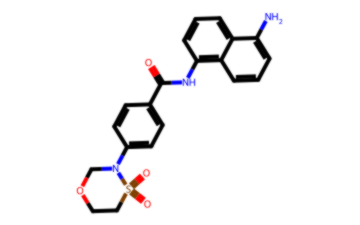 Nc1cccc2c(NC(=O)c3ccc(N4COCCS4(=O)=O)cc3)cccc12